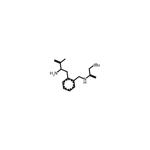 C=C(CC(C)(C)C)NCc1ccccc1CC(N)C(=C)C